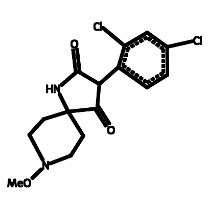 CON1CCC2(CC1)NC(=O)C(c1ccc(Cl)cc1Cl)C2=O